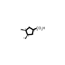 C[C@@H]1CC(C(=O)O)C[C@@H]1C